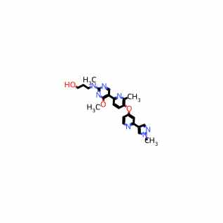 COc1nc(N(C)CCCO)ncc1-c1ccc(Oc2ccnc(-c3cnn(C)c3)c2)c(C)n1